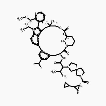 CCn1c(-c2cccnc2[C@H](C)OC)c2c3cc(ccc31)-c1cc(cc(C(F)F)c1)C[C@H](NC(=O)C(C(C)C)N1CC[C@]3(CCN(C(=O)[C@@H]4NC4C4CC4)C3)C1)C(=O)N1CCC[C@H](N1)C(=O)OCC(C)(C)C2